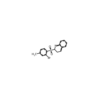 Cc1ccc(S(=O)(=O)C2CC=c3ccccc3=N2)c(Br)c1